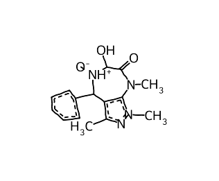 Cc1nn(C)c2c1C(c1ccccc1)[NH+]([O-])C(O)C(=O)N2C